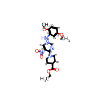 CCOC(=O)C1CCN(C2=NCN(Nc3cc(OC)ccc3OC)C=C2[N+](=O)[O-])CC1